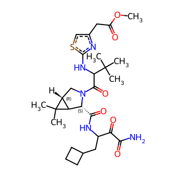 COC(=O)Cc1csc(NC(C(=O)N2C[C@@H]3C([C@H]2C(=O)NC(CC2CCC2)C(=O)C(N)=O)C3(C)C)C(C)(C)C)n1